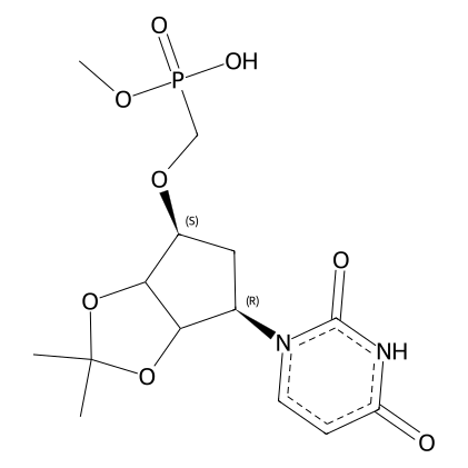 COP(=O)(O)CO[C@H]1C[C@@H](n2ccc(=O)[nH]c2=O)C2OC(C)(C)OC21